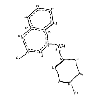 Cc1nc(N[C@H]2CC[C@@H](C)CC2)c2ccccc2n1